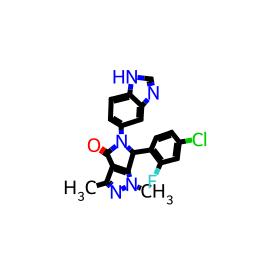 Cc1nn(C)c2c1C(=O)N(c1ccc3[nH]cnc3c1)C2c1ccc(Cl)cc1F